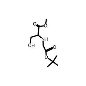 COC(=O)C(CO)NCC(=O)OC(C)(C)C